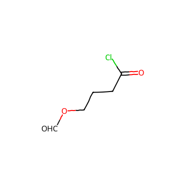 O=COCCCC(=O)Cl